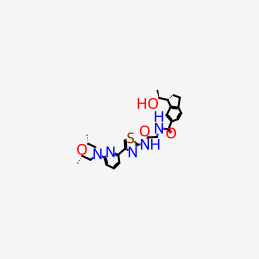 C[C@@H]1CN(c2cccc(-c3csc(NC(=O)CNC(=O)c4ccc5c(c4)[C@H]([C@H](C)O)CC5)n3)n2)C[C@H](C)O1